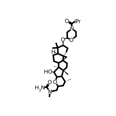 CC(C)C(=O)N1CCO[C@@H](O[C@H]2CC[C@]34C[C@]35CC[C@]3(C)C6C(OC(CN(C)C(N)=O)C[C@H]6C)[C@H](O)[C@@]3(C)C5CC[C@H]4C2(C)C)C1